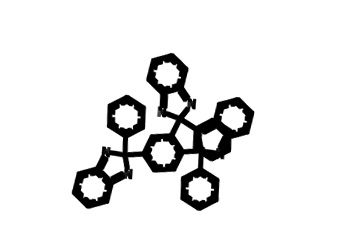 c1ccc(C2(c3ccc(C4(c5ccccc5)N=c5ccccc5=N4)c(C4(c5ccccc5)N=c5ccccc5=N4)c3)N=c3ccccc3=N2)cc1